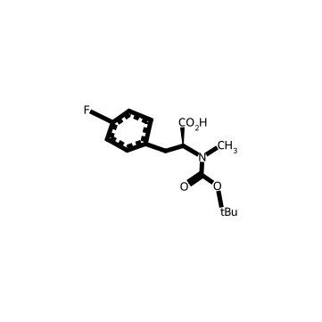 CN(C(=O)OC(C)(C)C)[C@@H](Cc1ccc(F)cc1)C(=O)O